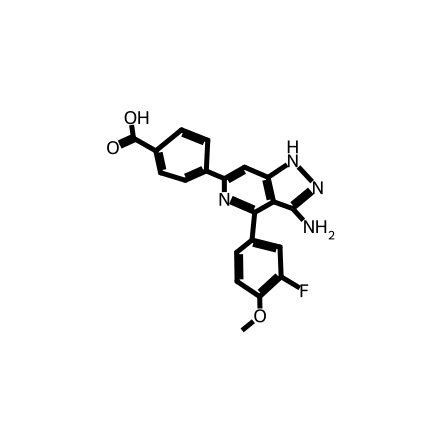 COc1ccc(-c2nc(-c3ccc(C(=O)O)cc3)cc3[nH]nc(N)c23)cc1F